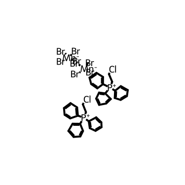 ClCC[P+](c1ccccc1)(c1ccccc1)c1ccccc1.ClCC[P+](c1ccccc1)(c1ccccc1)c1ccccc1.[Br][Mn-]([Br])([Br])[Br].[Br][Mn-]([Br])([Br])[Br]